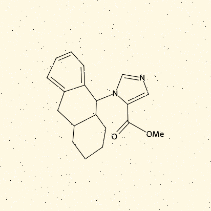 COC(=O)c1cncn1C1c2ccccc2CC2CCCCC21